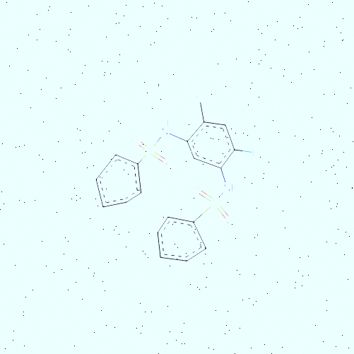 Cc1cc(F)c(NS(=O)(=O)c2ccccc2)cc1NS(=O)(=O)c1ccccc1